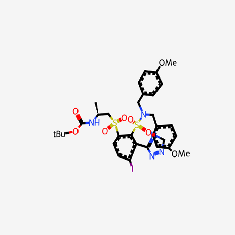 COc1ccc(CN(Cc2ccc(OC)cc2)S(=O)(=O)c2c(S(=O)(=O)C[C@H](C)NC(=O)OC(C)(C)C)ccc(I)c2C2=NCN=N2)cc1